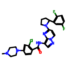 CN1CCN(c2ccc(C(=O)Nc3cnn4ccc(N5CCCC5c5cc(F)ccc5F)nc34)c(Cl)c2)CC1